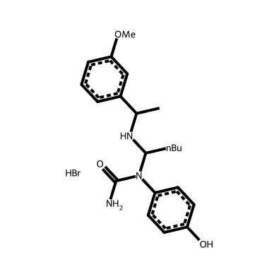 Br.CCCCC(NC(C)c1cccc(OC)c1)N(C(N)=O)c1ccc(O)cc1